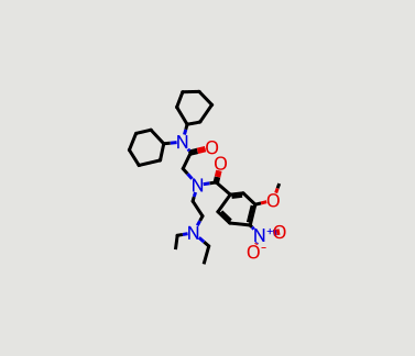 CCN(CC)CCN(CC(=O)N(C1CCCCC1)C1CCCCC1)C(=O)c1ccc([N+](=O)[O-])c(OC)c1